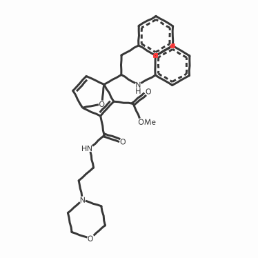 COC(=O)C1=C(C(=O)NCCN2CCOCC2)C2C=CC1(C(Cc1ccccc1)Nc1ccccc1)O2